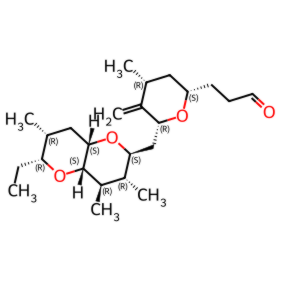 C=C1[C@H](C)C[C@H](CCC=O)O[C@@H]1C[C@@H]1O[C@H]2C[C@@H](C)[C@@H](CC)O[C@H]2[C@H](C)[C@H]1C